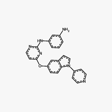 Nc1cccc(Nc2nccc(Oc3ccc4c(ccn4-c4ccncc4)c3)n2)c1